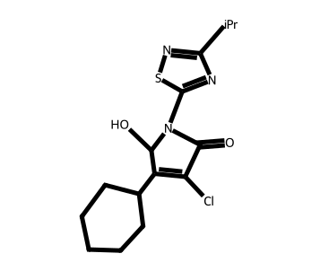 CC(C)c1nsc(N2C(=O)C(Cl)=C(C3CCCCC3)C2O)n1